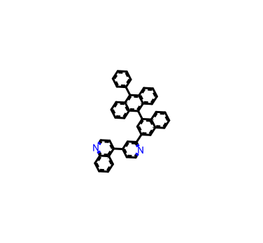 c1ccc(-c2c3ccccc3c(-c3cc(-c4cc(-c5ccnc6ccccc56)ccn4)cc4ccccc34)c3ccccc23)cc1